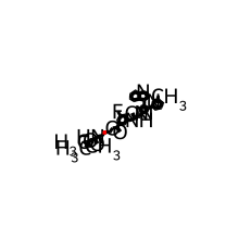 Cc1cccc(-c2nn(CC(=O)Nc3cc(F)cc(C(=O)OCCCNC(=O)OC(C)(C)C)c3)cc2-c2ccnc3ccccc23)n1